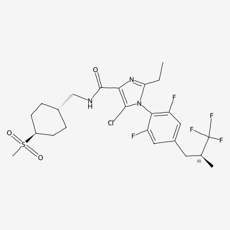 CCc1nc(C(=O)NC[C@H]2CC[C@H](S(C)(=O)=O)CC2)c(Cl)n1-c1c(F)cc(C[C@H](C)C(F)(F)F)cc1F